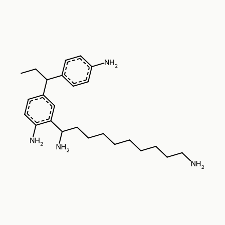 CCC(c1ccc(N)cc1)c1ccc(N)c(C(N)CCCCCCCCCN)c1